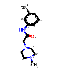 CN1CCN(CC(=O)Nc2cccc(C(C)(C)C)c2)CC1